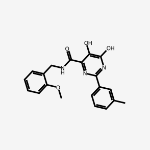 COc1ccccc1CNC(=O)c1nc(-c2cccc(C)c2)nc(O)c1O